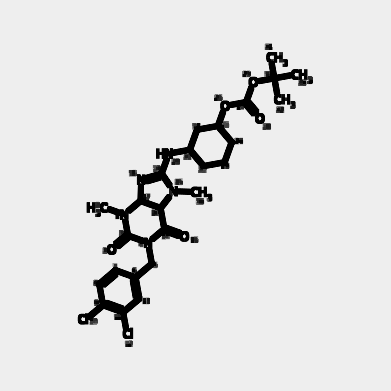 CN1C(=O)N(Cc2ccc(Cl)c(Cl)c2)C(=O)C2C1N=C(NC1CCCC(OC(=O)OC(C)(C)C)C1)N2C